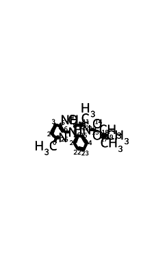 Cc1ccc(N)c(N(C(=O)[C@H](C)NC(=O)OC(C)(C)C)c2ccccc2)n1